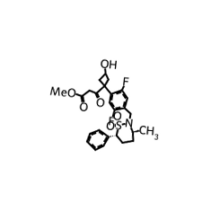 COC(=O)CC(=O)C1(c2cc(F)c(CN3[C@@H](C)CC[C@H](c4ccccc4)S3(=O)=O)cc2F)CC(O)C1